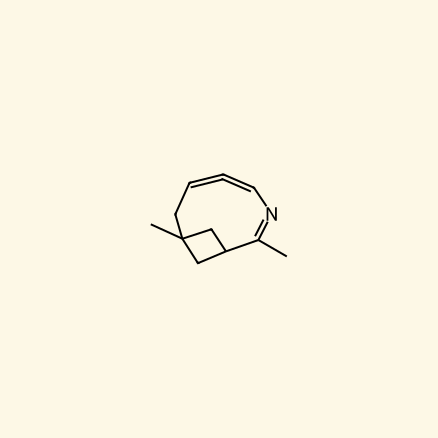 C/C1=N/C=C=CCC2(C)CC1C2